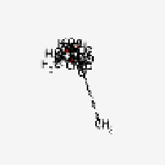 CCCCCCCCCCCCCCCCCCOCO[C@@H](C(=O)O[C@H]1C[C@@]2(O)[C@@H](OC(=O)c3ccccc3)[C@@H]3[C@]4(OC(C)=O)CO[C@@H]4C[C@H](O)[C@@]3(C)C(=O)[C@H](OC(C)=O)C(=C1C)C2(C)C)[C@@H](NC(=O)c1ccccc1)c1ccccc1